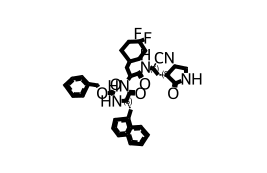 N#C[C@H](C[C@@H]1CCNC1=O)NC(=O)C(CC1CCC(F)(F)CC1)NC(=O)[C@H](Cc1cccc2ccccc12)NC(=O)OCc1ccccc1